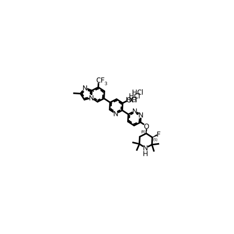 Cc1cn2cc(-c3cnc(-c4ccc(O[C@@H]5CC(C)(C)NC(C)(C)[C@@H]5F)nn4)c(O)c3)cc(C(F)(F)F)c2n1.Cl.Cl.Cl